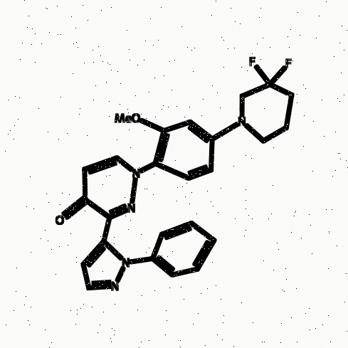 COc1cc(N2CCCC(F)(F)C2)ccc1-n1ccc(=O)c(-c2ccnn2-c2ccccc2)n1